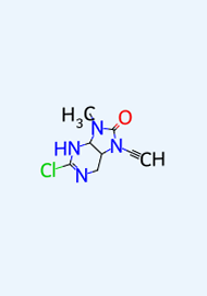 C#CN1C(=O)N(C)C2NC(Cl)=NCC21